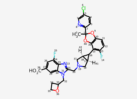 CC1(c2ccc(Cl)cn2)Oc2ccc(F)c(C3[C@H]4CN(Cc5nc6c(F)cc(C(=O)O)cc6n5CC5CCO5)C[C@@H]34)c2O1